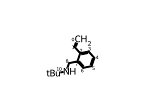 C=Cc1ccccc1CNC(C)(C)C